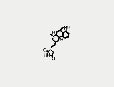 CN1CC(CCN2CC(=O)NC2=O)C[C@@H]2c3cccc4[nH]cc(c34)C[C@H]21